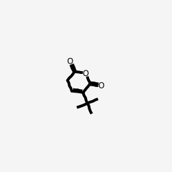 CC(C)(C)C1=CCC(=O)OC1=O